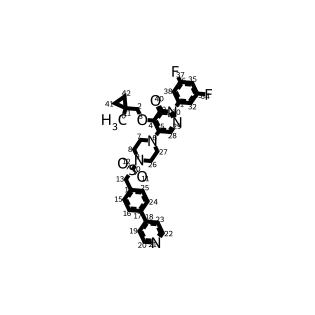 CC1(COc2c(N3CCN(S(=O)(=O)Cc4ccc(-c5ccncc5)cc4)CC3)cnn(-c3cc(F)cc(F)c3)c2=O)CC1